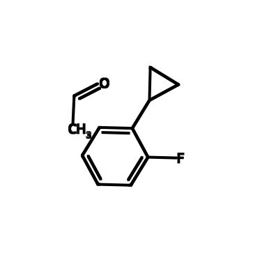 CC=O.Fc1ccccc1C1CC1